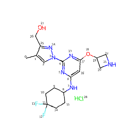 Cc1cn(-c2nc(NC3CCC(F)(F)CC3)cc(OC3CNC3)n2)nc1CO.Cl